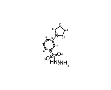 NNS(=O)(=O)c1cccc(N2CCCC2)c1